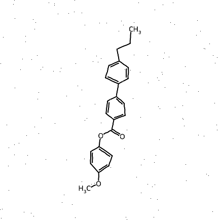 CCCc1ccc(-c2ccc(C(=O)Oc3ccc(OC)cc3)cc2)cc1